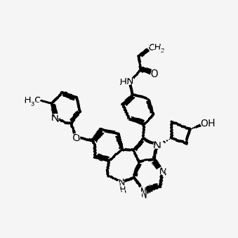 C=CC(=O)Nc1ccc(-c2c3c4c(ncnc4n2[C@H]2C[C@H](O)C2)NCc2cc(Oc4cccc(C)n4)ccc2-3)cc1